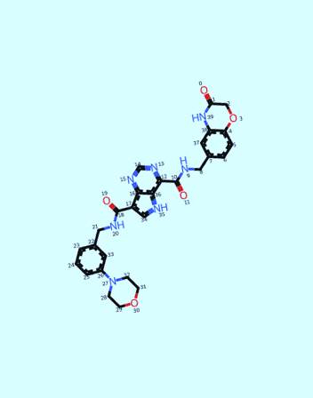 O=C1COc2ccc(CNC(=O)c3ncnc4c(C(=O)NCc5cccc(N6CCOCC6)c5)c[nH]c34)cc2N1